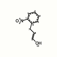 O=[N+]([O-])c1ccccc1CC=CO